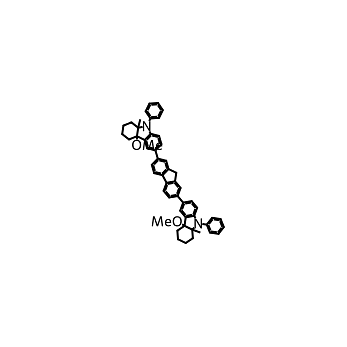 COC12CCCCC1(C)N(c1ccccc1)c1ccc(-c3ccc4c(c3)Cc3cc(-c5ccc6c(c5)C5(OC)CCCCC5(C)N6c5ccccc5)ccc3-4)cc12